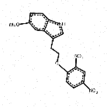 COc1ccc2[nH]cc(CCOc3ccc([N+](=O)[O-])cc3[N+](=O)[O-])c2c1